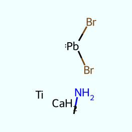 CN.[Br][Pb][Br].[CaH2].[Ti]